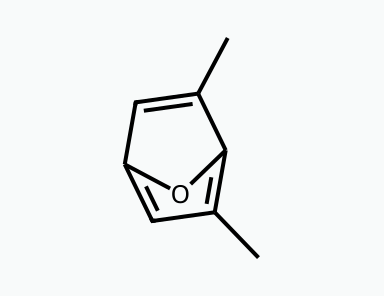 Cc1cc2cc(C)c1o2